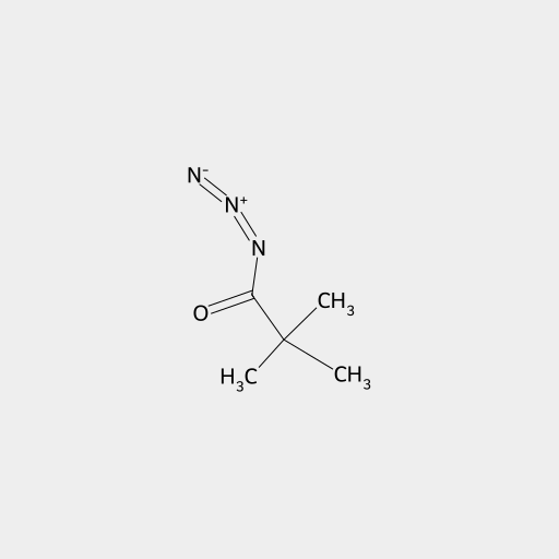 CC(C)(C)C(=O)N=[N+]=[N-]